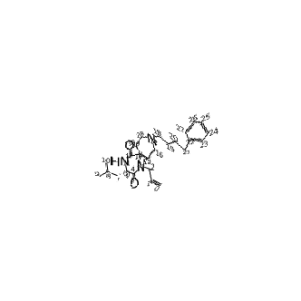 C=CCN1C(=O)[C@H](CC(C)C)NC(=O)C12CCN(CCCCc1ccccc1)CC2